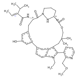 C/C=C(/C(=O)N[C@H]1Cc2cc(O)cc(c2)-c2ccc3c(c2)c(c(-c2cccnc2COC)n3CC)CC(C)(C)COC(=O)[C@@H]2CCCN(N2)C1=O)C(C)C